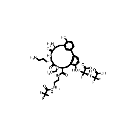 CCN1C(=O)[C@H](CCCN)NC(=O)[C@@H](N)Cc2cc(ccc2O)-c2ccc(O)c(c2)C[C@H]1C(=O)NCCN.O=C(O)C(F)(F)F.O=C(O)C(F)(F)F.O=C(O)C(F)(F)F